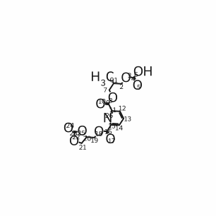 CC(COC(=O)O)COC(=O)c1cccc(C(=O)OCC2COC(=O)O2)n1